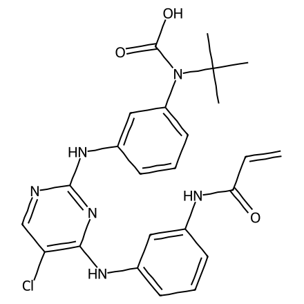 C=CC(=O)Nc1cccc(Nc2nc(Nc3cccc(N(C(=O)O)C(C)(C)C)c3)ncc2Cl)c1